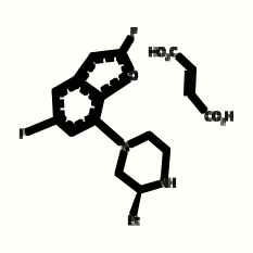 CC[C@H]1CN(c2cc(F)cc3cc(F)oc23)CCN1.O=C(O)/C=C/C(=O)O